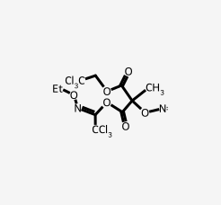 CCON=C(OC(=O)C(C)(O[N])C(=O)OCC(Cl)(Cl)Cl)C(Cl)(Cl)Cl